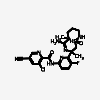 CC1(c2nc(NC(=O)c3ncc(C#N)cc3Cl)ccc2F)C[SH]2(=O)NCCCC2(C)C(N)=N1